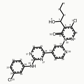 CCCC(O)c1c(Cl)cnn(-c2cc(-c3ccnc(Nc4cccc(Cl)c4)n3)ccn2)c1=O